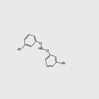 CC(C)c1cccc(OBOc2cccc(C(C)C)c2)c1